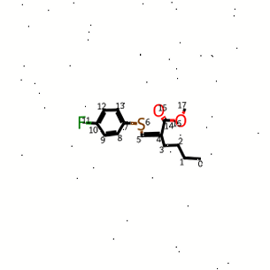 CCCCC(=CSc1ccc(F)cc1)C(=O)OC